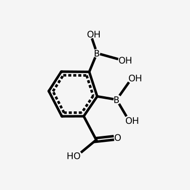 O=C(O)c1cccc(B(O)O)c1B(O)O